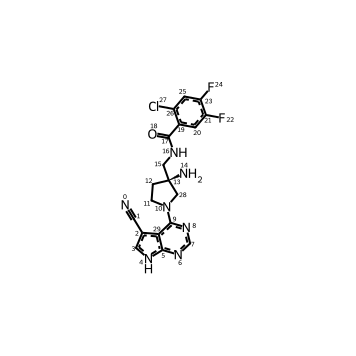 N#Cc1c[nH]c2ncnc(N3CC[C@](N)(CNC(=O)c4cc(F)c(F)cc4Cl)C3)c12